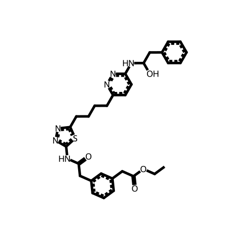 CCOC(=O)Cc1cccc(CC(=O)Nc2nnc(CCCCc3ccc(NC(O)Cc4ccccc4)nn3)s2)c1